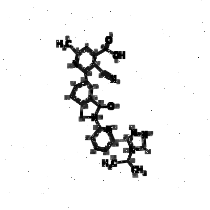 Cc1cc(C(=O)O)c(C#N)c(-c2ccc3c(c2)C(=O)N(c2cccc(-c4nncn4C(C)C)n2)C3)n1